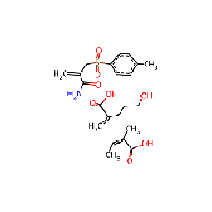 C=C(CCCO)C(=O)O.C=C(CS(=O)(=O)c1ccc(C)cc1)C(N)=O.CC=C(C)C(=O)O